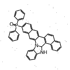 O=P(c1ccccc1)(c1ccccc1)c1ccc2cc3c(cc2c1)N1c2ccccc2NC1c1c-3ccc2ccccc12